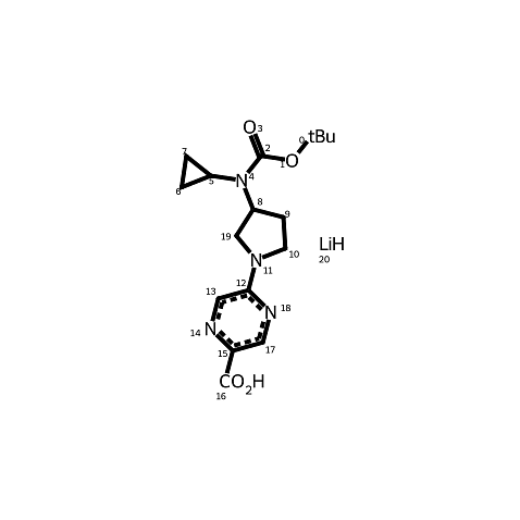 CC(C)(C)OC(=O)N(C1CC1)C1CCN(c2cnc(C(=O)O)cn2)C1.[LiH]